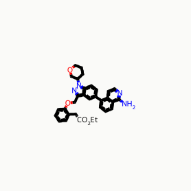 CCOC(=O)Cc1ccccc1OCc1nn(C2CCCOC2)c2ccc(-c3cccc4c(N)nccc34)cc12